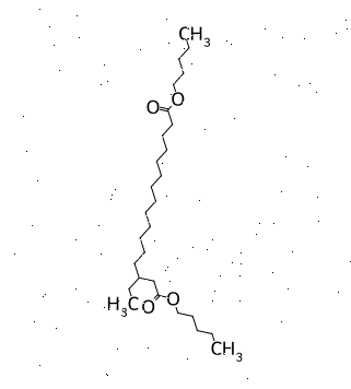 CCCCCOC(=O)CCCCCCCCCCCCC(CC)CC(=O)OCCCCC